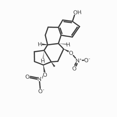 C[C@]12C[C@H](O[N+](=O)[O-])[C@@H]3c4ccc(O)cc4CC[C@H]3[C@@H]1CC[C@@H]2O[N+](=O)[O-]